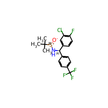 CC(C)(C)[S@+]([O-])N[C@H](c1ccc(C(F)(F)F)cc1)c1ccc(F)c(Cl)c1